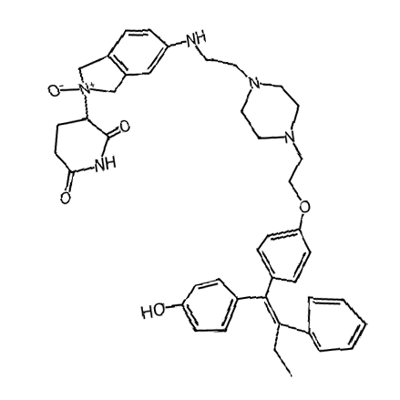 CC/C(=C(\c1ccc(O)cc1)c1ccc(OCCN2CCN(CCNc3ccc4c(c3)C[N+]([O-])(C3CCC(=O)NC3=O)C4)CC2)cc1)c1ccccc1